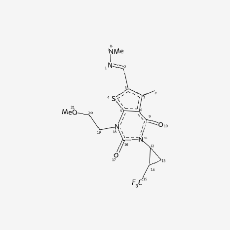 CN/N=C/c1sc2c(c1C)c(=O)n(C1CC1C(F)(F)F)c(=O)n2CCOC